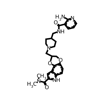 CN(C)C(=O)c1cc2c3c(ccc2[nH]1)OCC(CN1CCC(CNC(=O)c2cccnc2N)CC1)O3